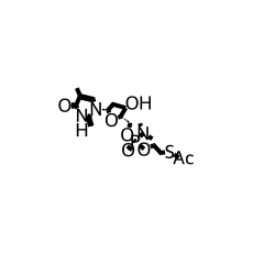 C=C1NC(=O)C(C)=CN1[C@@H]1CC(O)[C@H](COP(=O)(OCCSC(C)=O)N(C)C)O1